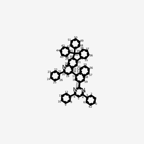 c1ccc(-c2cc(-c3ccccc3)nc(-c3cc(-c4cc(-c5ccccc5)nc5cc6c(cc45)-c4ccccc4C6(c4ccccc4)c4ccccc4)c4ccccc4c3)n2)cc1